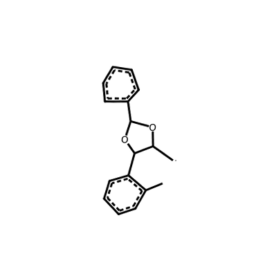 [CH2]C1OC(c2ccccc2)OC1c1ccccc1C